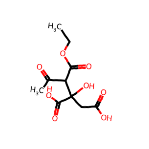 CCOC(=O)C(C(C)=O)C(O)(CC(=O)O)C(=O)O